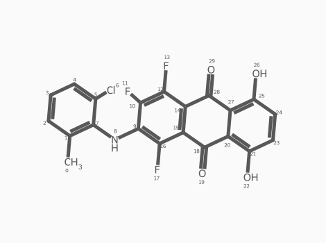 Cc1cccc(Cl)c1Nc1c(F)c(F)c2c(c1F)C(=O)c1c(O)ccc(O)c1C2=O